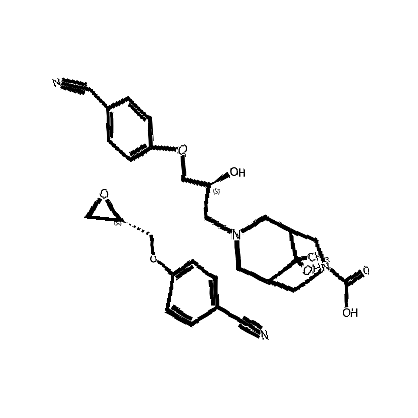 CC1(O)C2CN(C[C@H](O)COc3ccc(C#N)cc3)CC1CN(C(=O)O)C2.N#Cc1ccc(OC[C@@H]2CO2)cc1